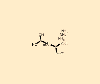 CCCCCCCCP(CCCCCCCC)CCCCCCCC.N.N.N.OB(O)O